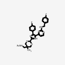 CC(=O)NCC1(C)COC(c2nc(-c3ccc(F)cc3)c(-c3ccnc(NCc4ccc(F)cc4)n3)[nH]2)OC1